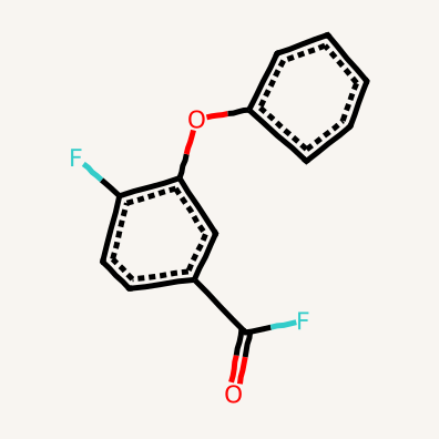 O=C(F)c1ccc(F)c(Oc2ccccc2)c1